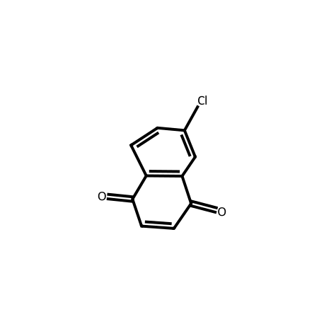 O=C1C=CC(=O)c2cc(Cl)ccc21